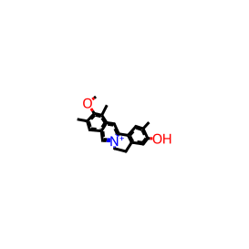 COc1c(C)cc2c[n+]3c(cc2c1C)-c1cc(C)c(O)cc1CC3